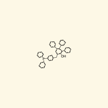 Oc1c(Cc2ccc(P(c3ccccc3)c3ccccc3)cc2)cc(-c2ccccc2)c(-c2ccccc2)c1-c1ccccc1